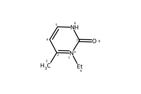 CC[n+]1c(C)cc[nH]c1=O